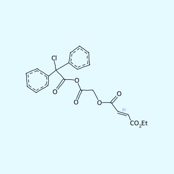 CCOC(=O)/C=C/C(=O)OCC(=O)OC(=O)C(Cl)(c1ccccc1)c1ccccc1